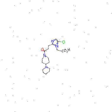 O=C(O)Cn1c(Cl)cnc1CCC(=O)N1CCC(N2CCCCC2)CC1